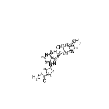 C=CC(=O)N1CC[C@H](n2nc(C#Cc3cc4ncn(C)c4cc3Cl)c3c(N)nccc32)C1